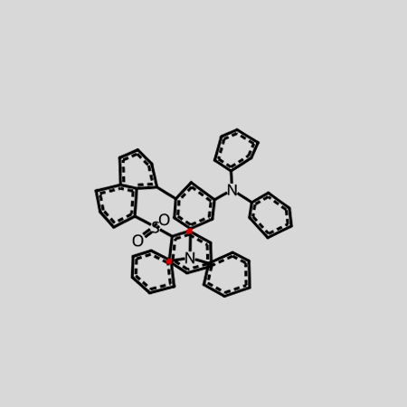 O=S(=O)(c1ccccc1)c1cccc2cccc(-c3cc(N(c4ccccc4)c4ccccc4)cc(N(c4ccccc4)c4ccccc4)c3)c12